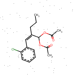 CCCC(=Cc1ccccc1Cl)C(OC(C)=O)OC(C)=O